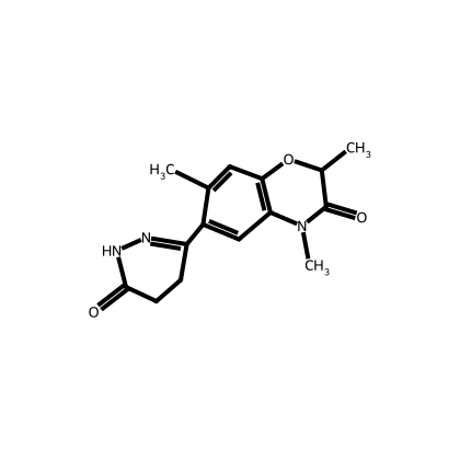 Cc1cc2c(cc1C1=NNC(=O)CC1)N(C)C(=O)C(C)O2